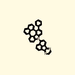 c1ccc(-c2ccc3c4c2-c2cccc5cccc(c25)-c2cccc(c24)n3-c2ccc3c4c(cccc24)-c2nccnc2-3)cc1